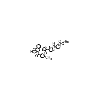 Cc1ccc(C(=O)N(C)Cc2ccccc2Cl)cc1Oc1ncsc1-c1ccnc(N[C@H]2CCCN(C(=O)OC(C)(C)C)C2)n1